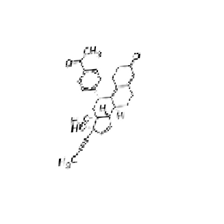 CC#C[C@]1(O)C=C[C@H]2[C@@H]3CCC4=CC(=O)CCC4=C3[C@@H](c3ccc(C(C)=O)cc3)C[C@@]21C